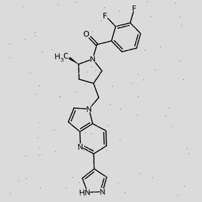 C[C@@H]1CC(Cn2ccc3nc(-c4cn[nH]c4)ccc32)CN1C(=O)c1cccc(F)c1F